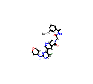 COc1cccc(C(C)NC(=O)CN2Cc3ncc(-c4nc(NC5CCOCC5)ncc4Cl)cc3C2=O)c1